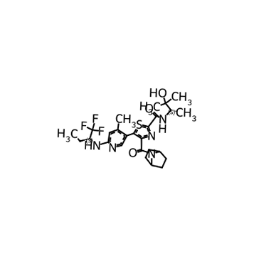 CC[C@H](Nc1cc(C)c(-c2sc(C(=O)N[C@@H](C)C(C)(C)O)nc2C(=O)N2C3CCC2CC3)cn1)C(F)(F)F